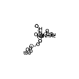 CC(=O)NC(CC(=O)OC(C)(C)C)C(=O)NC(CCc1ccccc1)C(=O)NCc1cc(OCCC2CCCN(C(=O)OC(C)(C)C)C2)ccc1F